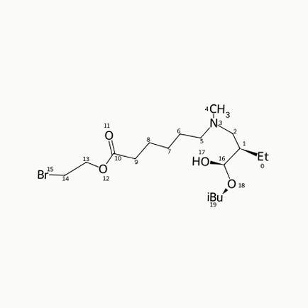 CC[C@H](CN(C)CCCCCC(=O)OCCBr)[C@H](O)O[C@H](C)CC